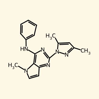 Cc1cc(C)n(-c2nc(Nc3ccccc3)c3c(ccn3C)n2)n1